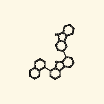 c1ccc2c(-c3cccc4c3oc3c(-c5ccc6[nH]c7ccccc7c6c5)cccc34)cccc2c1